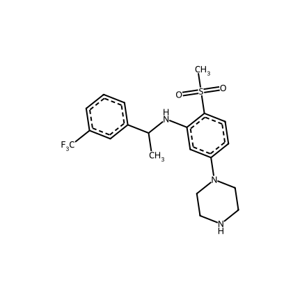 CC(Nc1cc(N2CCNCC2)ccc1S(C)(=O)=O)c1cccc(C(F)(F)F)c1